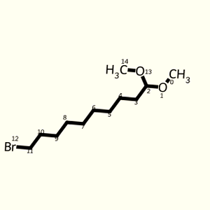 COC(CCCCCCCCCBr)OC